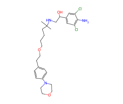 CC(C)(CCCCOCCc1ccc(N2CCOCC2)cc1)NCC(O)c1cc(Cl)c(N)c(Cl)c1